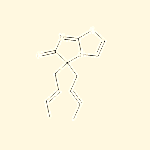 C/C=C/CC1(C/C=C/C)C(=O)N=C2SC=CN21